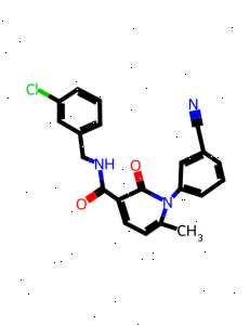 Cc1ccc(C(=O)NCc2cccc(Cl)c2)c(=O)n1-c1cccc(C#N)c1